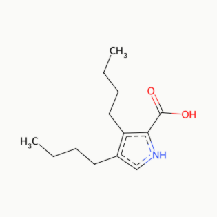 CCCCc1c[nH]c(C(=O)O)c1CCCC